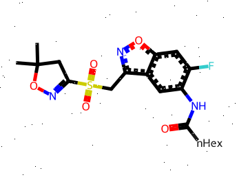 CCCCCCC(=O)Nc1cc2c(CS(=O)(=O)C3=NOC(C)(C)C3)noc2cc1F